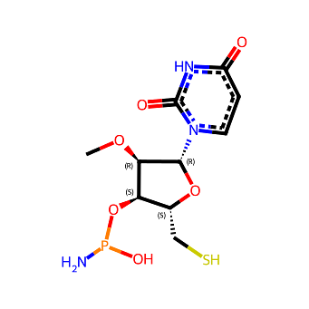 CO[C@@H]1[C@H](OP(N)O)[C@@H](CS)O[C@H]1n1ccc(=O)[nH]c1=O